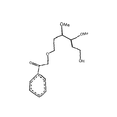 COC(CCO)C(CCOCC(=O)c1ccccc1)OC